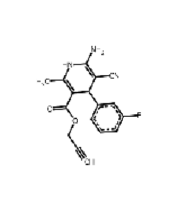 C#CCOC(=O)C1=C(C)NC(N)=C(C#N)C1c1cccc(F)c1